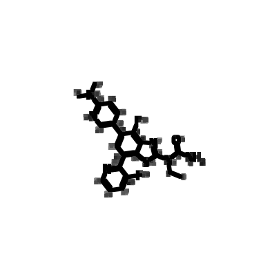 CCN(C(N)=O)c1nc2c(F)c(-c3ccc(N(C)C)nc3)cc(-c3ncccc3F)c2s1